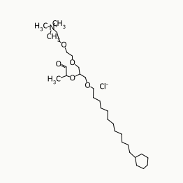 CC(C=O)OC(COCCCCCCCCCCCCC1CCCCC1)COCCOCC[N+](C)(C)C.[Cl-]